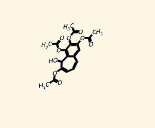 CC(=O)OC1=CC=Cc2cc(OC(C)=O)c(OC(C)=O)c(OC(C)=O)c2C1O